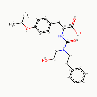 CC(C)Oc1ccc(C[C@H](NC(=O)N(CCO)CCc2ccccc2)C(=O)O)cc1